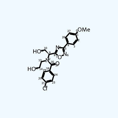 COc1ccc(-c2noc([C@H](CO)N(CCO)C(=O)c3ccc(Cl)cc3)n2)cc1